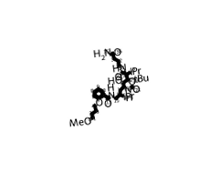 COCCCCOc1ccccc1C(=O)NCC(CC(NC(=O)OC(C)(C)C)C(O)CC(C(=O)NCCCC(N)=O)C(C)C)C(C)C